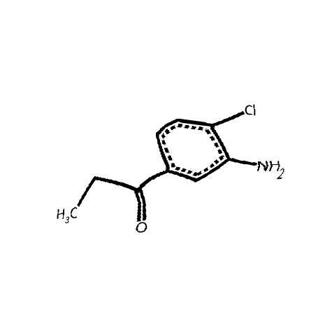 CCC(=O)c1ccc(Cl)c(N)c1